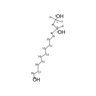 CC(C)(O)CC(C)(O)CCCCCCCCCCCO